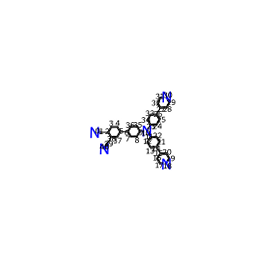 N#Cc1ccc(-c2ccc(N(c3ccc(-c4ccncc4)cc3)c3ccc(-c4ccncc4)cc3)cc2)cc1C#N